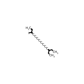 C=CC(I)=C=C=C=C=C=C=C=C=C(CC)CC